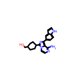 Nc1nccn2c(C3CCC(CO)CC3)nc(-c3ccc4[nH]ccc4c3)c12